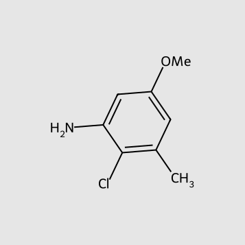 COc1cc(C)c(Cl)c(N)c1